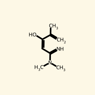 C=C(C)/C(O)=C\C(=N)N(C)C